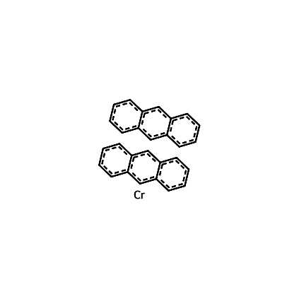 [Cr].c1ccc2cc3ccccc3cc2c1.c1ccc2cc3ccccc3cc2c1